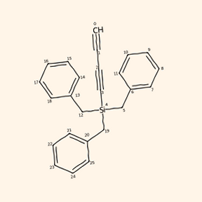 C#CC#C[Si](Cc1ccccc1)(Cc1ccccc1)Cc1ccccc1